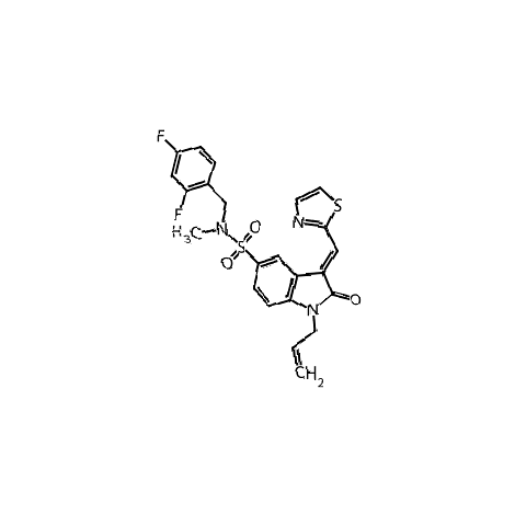 C=CCN1C(=O)/C(=C/c2nccs2)c2cc(S(=O)(=O)N(C)Cc3ccc(F)cc3F)ccc21